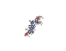 CCN1C(=CC=C2CCC(C=CC3=[N+](CC)c4ccc(SOOC)cc4C3(C)C)=C2N(c2ccccc2)c2ccccc2)C(C)(C)c2cc(S(C)(=O)=O)ccc21